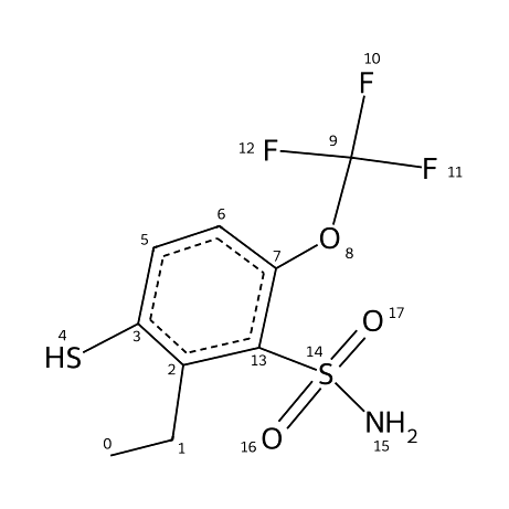 CCc1c(S)ccc(OC(F)(F)F)c1S(N)(=O)=O